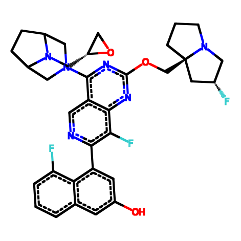 Oc1cc(-c2ncc3c(N4CC5CCC(C4)N5C[C@@H]4CO4)nc(OC[C@@]45CCCN4C[C@H](F)C5)nc3c2F)c2c(F)cccc2c1